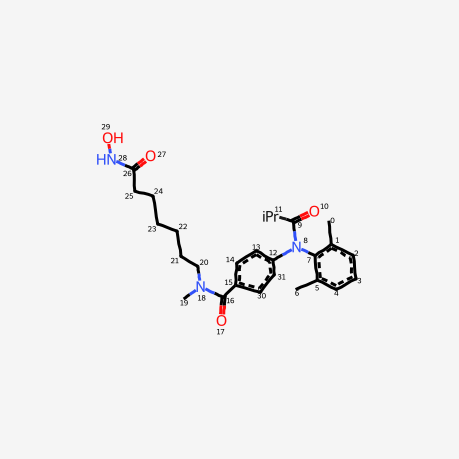 Cc1cccc(C)c1N(C(=O)C(C)C)c1ccc(C(=O)N(C)CCCCCCC(=O)NO)cc1